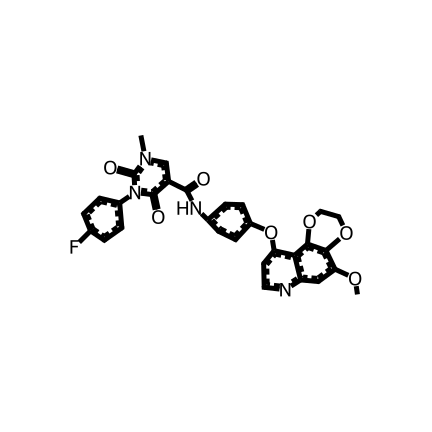 COc1cc2nccc(Oc3ccc(NC(=O)c4cn(C)c(=O)n(-c5ccc(F)cc5)c4=O)cc3)c2c2c1OCCO2